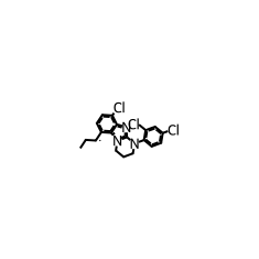 CC[CH]c1ccc(Cl)c2nc3n(c12)CCCN3c1ccc(Cl)cc1Cl